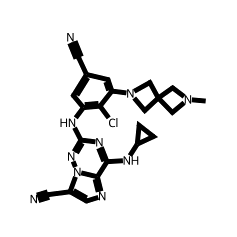 CN1CC2(C1)CN(c1cc(C#N)cc(Nc3nc(NC4CC4)c4ncc(C#N)n4n3)c1Cl)C2